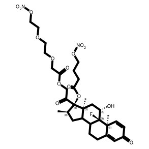 C[C@@H]1CC2C3CCC4=CC(=O)C=C[C@]4(C)[C@@]3(F)[C@@H](O)C[C@]2(C)[C@@]1(OC(=O)CCCO[N+](=O)[O-])C(=O)COC(=O)COCCOCCO[N+](=O)[O-]